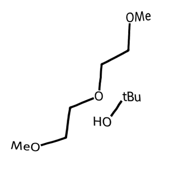 CC(C)(C)O.COCCOCCOC